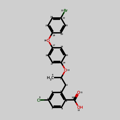 CC(Cc1cc(Cl)ccc1C(=O)O)Oc1ccc(Oc2ccc(Br)cc2)cc1